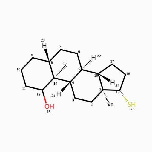 C[C@]12CC[C@H]3[C@@H](CC[C@H]4CCCC(O)[C@@]43C)[C@@H]1CC[C@@H]2S